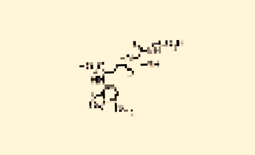 O=C(O)CNC(=O)[C@H](CS)NC(=O)CC[C@H](Nc1ccc([N+](=O)[O-])c2nonc12)C(=O)O